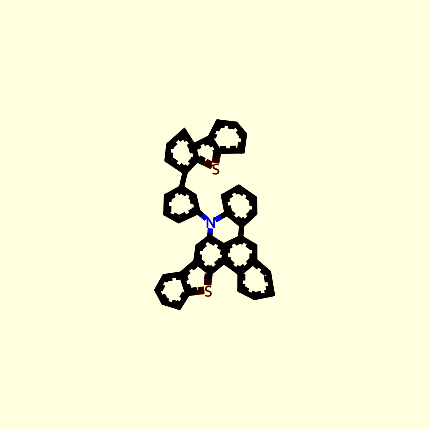 c1cc(-c2cccc3c2sc2ccccc23)cc(N(c2ccc3sc4ccccc4c3c2)c2ccccc2-c2ccc3ccccc3c2)c1